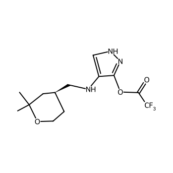 CC1(C)C[C@@H](CNc2c[nH]nc2OC(=O)C(F)(F)F)CCO1